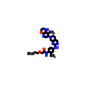 COCCOCC(=O)Nc1ccc(Nc2ncc3c(n2)CN(c2cnc4c(c2C)NCCO4)CC3)cc1C